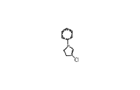 ClC1=CP(c2ccccc2)CC1